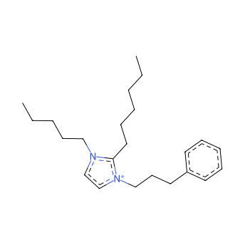 CCCCCCc1n(CCCCC)cc[n+]1CCCc1ccccc1